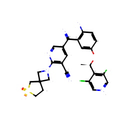 C[C@@H](Oc1ccc(N)c(C(=N)c2cnc(N3CC4(CCS(=O)(=O)C4)C3)c(C#N)c2)c1)c1c(Cl)cncc1Cl